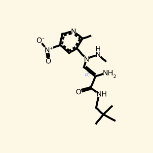 CNN(/C=C(\N)C(=O)NCC(C)(C)C)c1cc([N+](=O)[O-])cnc1C